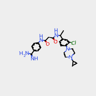 CC(NC(=O)CC(=O)Nc1ccc(C(=N)N)cc1)c1ccc(N2CCN(C3CC3)CC2)c(Cl)c1